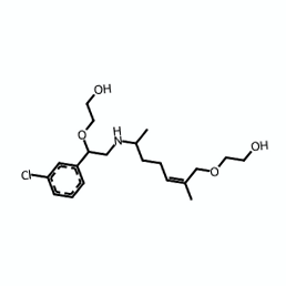 CC(=CCCC(C)NCC(OCCO)c1cccc(Cl)c1)COCCO